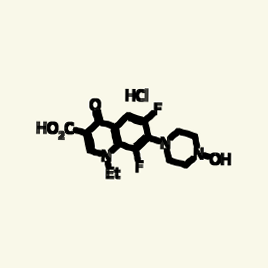 CCn1cc(C(=O)O)c(=O)c2cc(F)c(N3CCN(O)CC3)c(F)c21.Cl